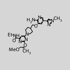 CCNC(=O)c1cc(N2CCC(COc3cc(-c4cn(C)cn4)cnc3N)CC2)nc(O[C@H](C)COC)n1